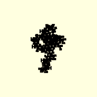 Cc1cc(N(c2ccc(Nc3ccc(NC(C)CC(C)C)cc3)c(CCC(C)N(c3ccc(Nc4ccc(NC(C)CC(C)C)c(C)c4)c(C)c3)c3ccc(Nc4ccc(NC(C)CC(C)C)c(C)c4)c(CCC(C)N(c4ccc(Nc5ccc(NC(C)CC(C)C)c(C)c5)cc4)c4ccc(Nc5ccc(NC(C)CC(C)C)c(C)c5)cc4)c3)c2)C(C)C)ccc1Nc1ccc(NC(C)CC(C)C)cc1